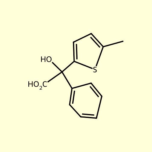 Cc1ccc(C(O)(C(=O)O)c2ccccc2)s1